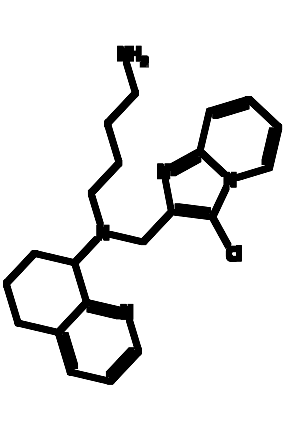 NCCCCN(Cc1nc2ccccn2c1Cl)C1CCCc2cccnc21